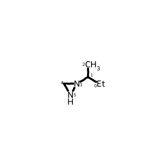 CCC(C)N1CN1